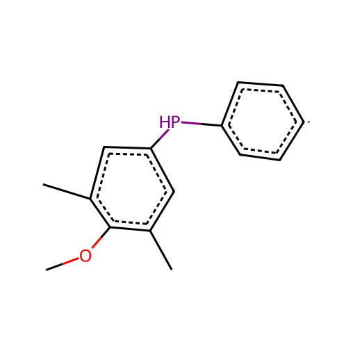 COc1c(C)cc(Pc2cc[c]cc2)cc1C